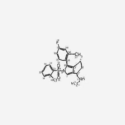 CNC1CCc2c1cn(S(=O)(=O)c1ccccc1Cl)c2-c1ccc(F)cc1C